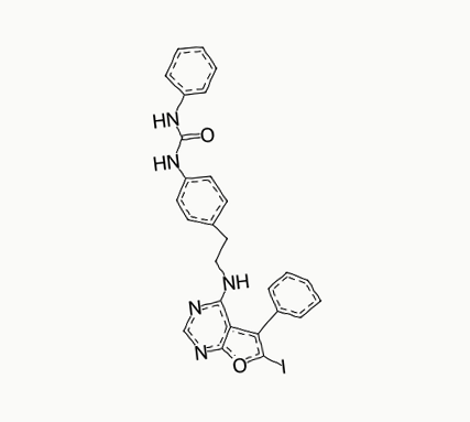 O=C(Nc1ccccc1)Nc1ccc(CCNc2ncnc3oc(I)c(-c4ccccc4)c23)cc1